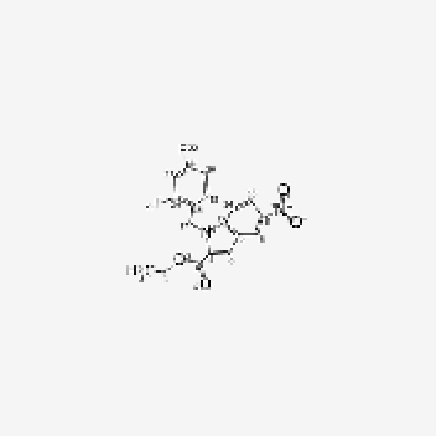 CCOC(=O)c1cc2cc([N+](=O)[O-])ccc2n1Cc1ccc(F)cc1F